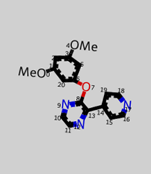 COc1cc(OC)cc(Oc2nccnc2-c2ccncc2)c1